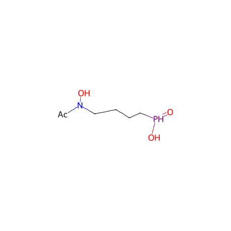 CC(=O)N(O)CCCC[PH](=O)O